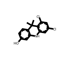 CC1(C)c2ccc(O)cc2Nc2cc(Cl)cc(Cl)c21